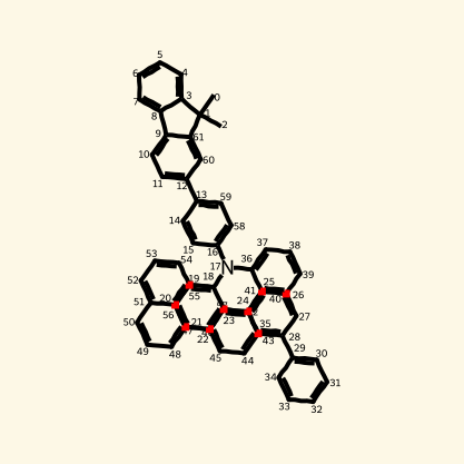 CC1(C)c2ccccc2-c2ccc(-c3ccc(N(c4ccccc4-c4cccc(-c5ccccc5)c4)c4ccccc4-c4cccc(-c5cccc6ccccc56)c4)cc3)cc21